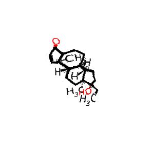 CC[C@]1(O)CC[C@H]2[C@@H]3CCC4C(=O)C=C[C@]4(C)[C@H]3CC[C@@]21C